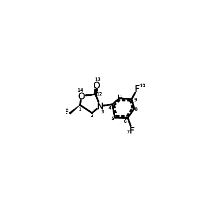 [CH2][C@@H]1CN(c2cc(F)cc(F)c2)C(=O)O1